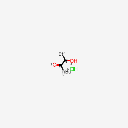 CCCCC(=O)C(O)CC.Cl